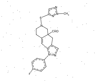 Cn1ncc(SN2CCC3=Cc4c(cnn4-c4ccc(F)cc4)CC3(C=O)C2)n1